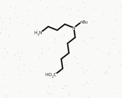 CCCCN(CCCN)CCCCCC(=O)O